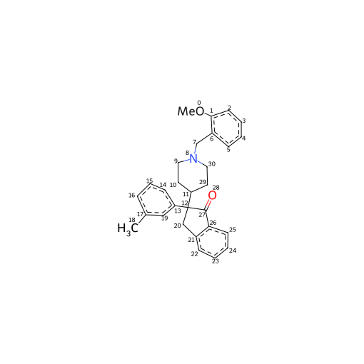 COc1ccccc1CN1CCC(C2(c3cccc(C)c3)Cc3ccccc3C2=O)CC1